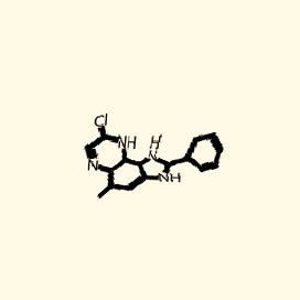 CC1C=C2NC(C3C=CC=CC3)NC2C2NC(Cl)C=NC12